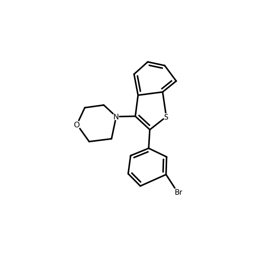 Brc1cccc(-c2sc3ccccc3c2N2CCOCC2)c1